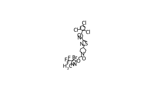 Cn1nc(OCC(=O)N2CCC(c3nc(C4=NOC(c5c(Cl)cc(Cl)cc5Cl)C4)cs3)CC2)c(Br)c1C(F)(F)F